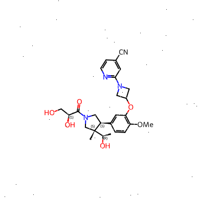 COc1ccc([C@@H]2CN(C(=O)[C@@H](O)CO)C[C@@]2(C)[C@@H](C)O)cc1OC1CN(c2cc(C#N)ccn2)C1